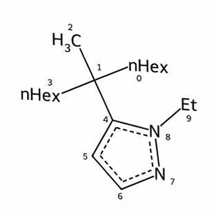 CCCCCCC(C)(CCCCCC)c1ccnn1CC